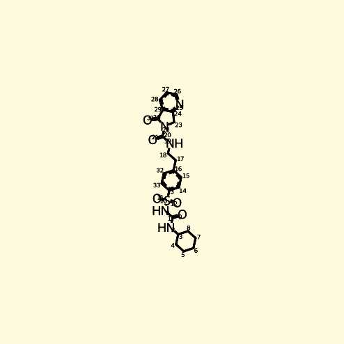 O=C(NC1CCCCC1)NS(=O)(=O)c1ccc(CCNC(=O)N2Cc3ncccc3C2=O)cc1